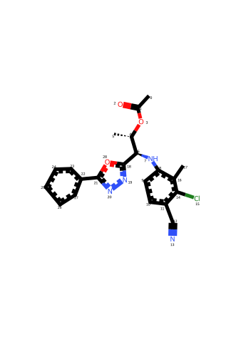 CC(=O)O[C@@H](C)[C@@H](Nc1ccc(C#N)c(Cl)c1C)c1nnc(-c2ccccc2)o1